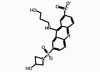 O=[N+]([O-])c1ccc2nc3ccc(S(=O)(=O)N4CC(O)C4)cc3c(NCCCO)c2c1